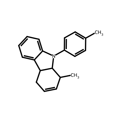 Cc1ccc(N2c3ccccc3C3CC=CC(C)C32)cc1